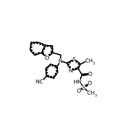 Cc1sc(N(Cc2cc3ccccc3o2)c2ccc(C#N)cc2)nc1C(=O)NS(C)(=O)=O